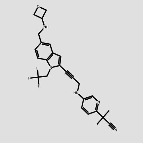 CC(C)(C#N)c1ccc(NCC#Cc2cc3cc(CNC4COC4)ccc3n2CC(F)(F)F)cn1